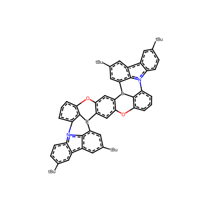 CC(C)(C)c1ccc2c(c1)c1cc(C(C)(C)C)cc3c1n2-c1cccc2c1B3c1cc3c(cc1O2)B1c2c(cccc2-n2c4ccc(C(C)(C)C)cc4c4cc(C(C)(C)C)cc1c42)O3